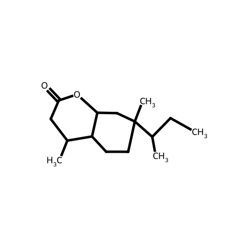 CCC(C)C1(C)CCC2C(C)CC(=O)OC2C1